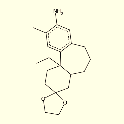 CCC12CCC3(CC1CCCc1cc(N)c(C)cc12)OCCO3